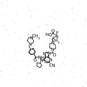 CN1CCN(Cc2ccc(C(=O)NN(c3nc(C#N)nc4c3ncn4C(=O)N3CCN(C)CC3)C3CCCC3)cc2)CC1.O=C(O)C(F)(F)F